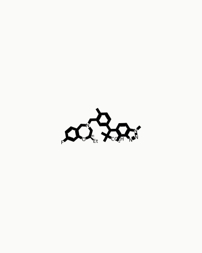 CC[C@@H]1CN(Cc2cc(C(c3ccc4c(nnn4C)c3C)C(C)(C)C(=O)O)ccc2C)Cc2ccc(F)cc2O1